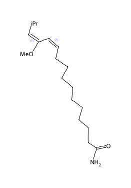 COC(/C=C\CCCCCCCCCC(N)=O)=C/C(C)C